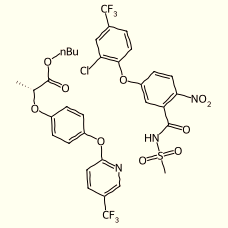 CCCCOC(=O)[C@@H](C)Oc1ccc(Oc2ccc(C(F)(F)F)cn2)cc1.CS(=O)(=O)NC(=O)c1cc(Oc2ccc(C(F)(F)F)cc2Cl)ccc1[N+](=O)[O-]